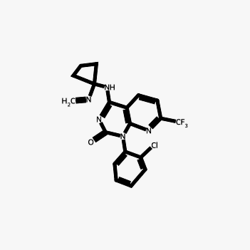 C=NC1(Nc2nc(=O)n(-c3ccccc3Cl)c3nc(C(F)(F)F)ccc23)CCC1